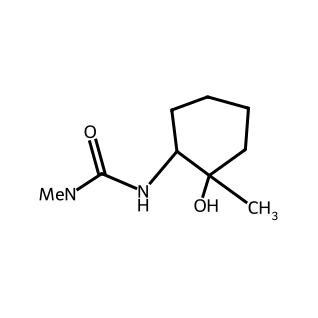 CNC(=O)NC1CCCCC1(C)O